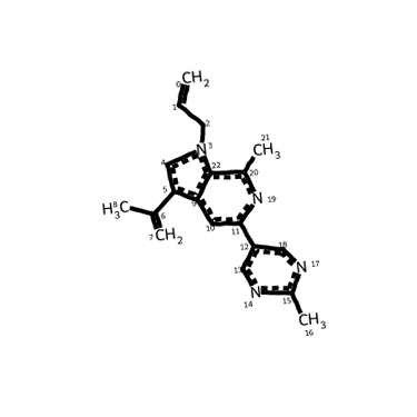 C=CCn1cc(C(=C)C)c2cc(-c3cnc(C)nc3)nc(C)c21